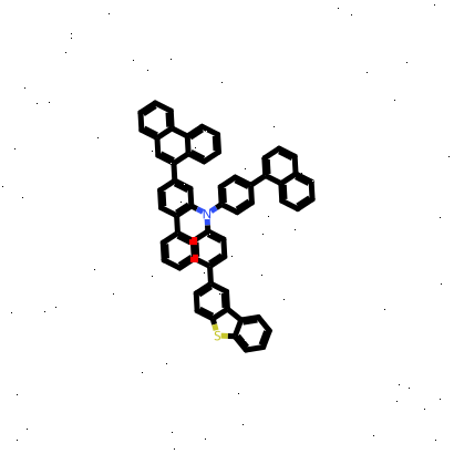 c1ccc(-c2ccc(-c3cc4ccccc4c4ccccc34)cc2N(c2ccc(-c3ccc4sc5ccccc5c4c3)cc2)c2ccc(-c3cccc4ccccc34)cc2)cc1